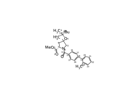 COC(=O)[C@@H]1C[C@@H](O[Si](C)(C)C(C)(C)C)CN1C(=O)c1ccc(-c2ccccc2C)cc1